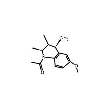 COc1ccc2c(c1)[C@H](N)C(C)[C@H](C)N2C(C)=O